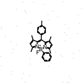 CC1=CC(C)=[N+]2C1=C(c1ccc(C)cc1)c1c(C)cc(C)n1[B-]2(F)c1ccccc1